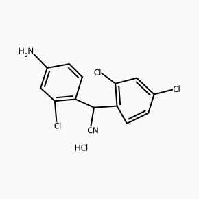 Cl.N#CC(c1ccc(N)cc1Cl)c1ccc(Cl)cc1Cl